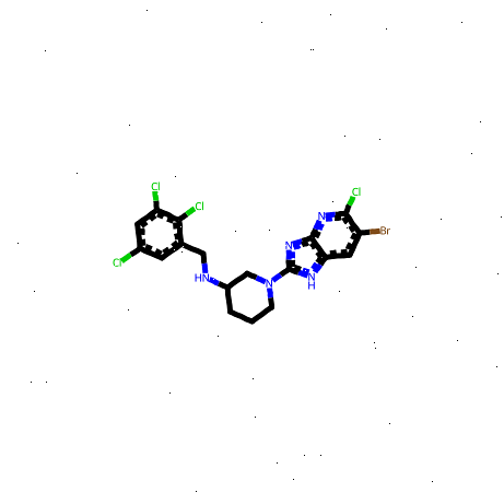 Clc1cc(Cl)c(Cl)c(CNC2CCCN(c3nc4nc(Cl)c(Br)cc4[nH]3)C2)c1